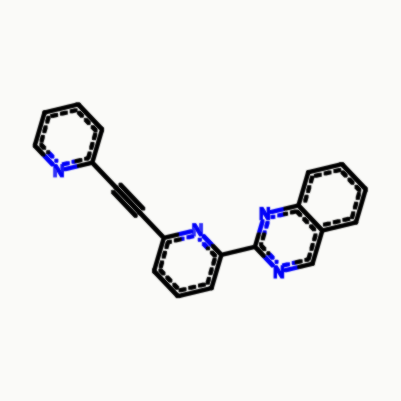 C(#Cc1cccc(-c2ncc3ccccc3n2)n1)c1ccccn1